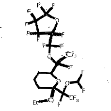 CCOC1(C(F)(OC(F)F)C(F)(F)F)CCCC(C(F)(OC(F)(F)C2(F)OC(F)(F)C(F)(F)C2(F)F)C(F)(F)F)O1